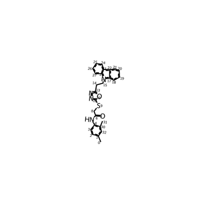 Cc1ccc(NC(=O)CSc2nnc(CCn3c4ccccc4c4ccccc43)o2)c(C)c1